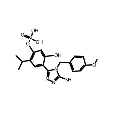 COc1ccc(Cn2c(S)nnc2-c2cc(C(C)C)c(OP(=O)(O)O)cc2O)cc1